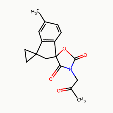 CC(=O)CN1C(=O)OC2(CC3(CC3)c3cc(C)ccc32)C1=O